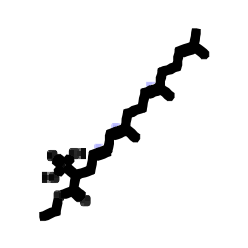 CCOC(=O)C(C/C=C/C=C(\C)CC/C=C(\C)CCC=C(C)C)P(=O)(O)O